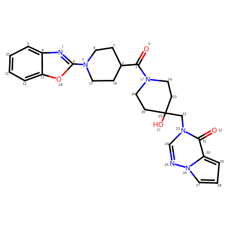 O=C(C1CCN(c2nc3ccccc3o2)CC1)N1CCC(O)(Cn2cnn3cccc3c2=O)CC1